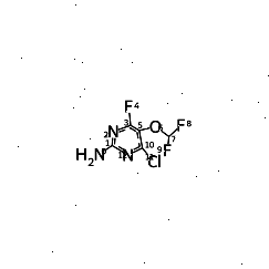 Nc1nc(F)c(OC(F)F)c(Cl)n1